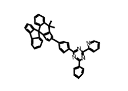 CC1(C)c2ccccc2C2(c3ccccc3-c3ccccc32)c2ccc(-c3ccc(-c4nc(-c5ccccc5)nc(-c5ccccn5)n4)cc3)cc21